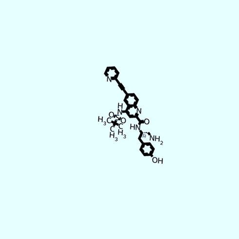 CC(C)(C)S(=O)(=O)Nc1cc(C(=O)N[C@H](CN)Cc2ccc(O)cc2)nc2ccc(C#Cc3ccccn3)cc12